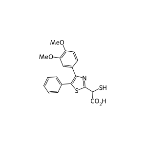 COc1ccc(-c2nc(C(S)C(=O)O)sc2-c2ccccc2)cc1OC